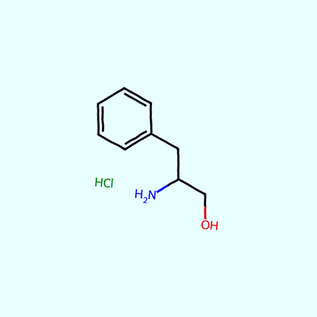 Cl.NC(CO)Cc1ccccc1